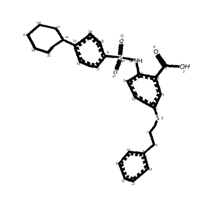 O=C(O)c1cc(SCCc2ccccc2)ccc1NS(=O)(=O)c1ccc(C2CCCCC2)cc1